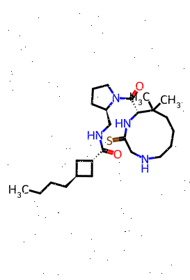 CCCC[C@H]1C[C@H](C(=O)NC[C@H]2CCCN2C(=O)[C@H]2NC(=S)CNCCCCC2(C)C)C1